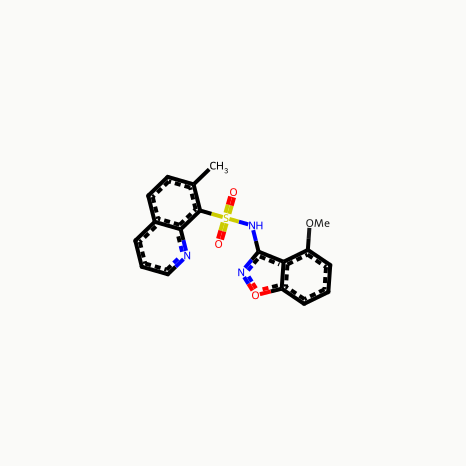 COc1cccc2onc(NS(=O)(=O)c3c(C)ccc4cccnc34)c12